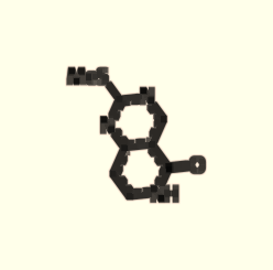 CSc1ncc2c(=O)[nH]ccc2n1